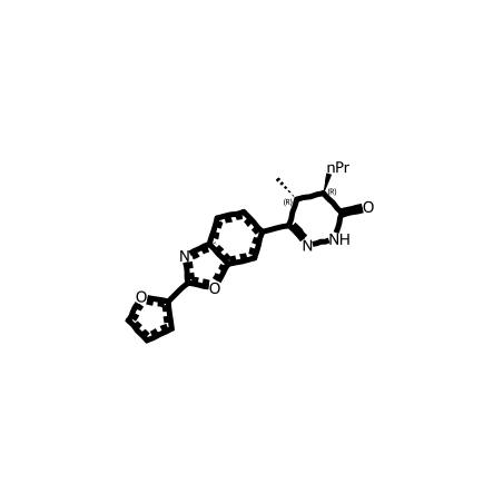 CCC[C@H]1C(=O)NN=C(c2ccc3nc(-c4ccco4)oc3c2)[C@@H]1C